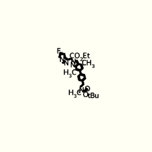 CCOC(=O)C(c1ncn2c1C[C@@H](F)C2)n1cc2c(C)cc(-c3ccc(CCN(C)C(=O)OC(C)(C)C)cc3)c(C)c2n1